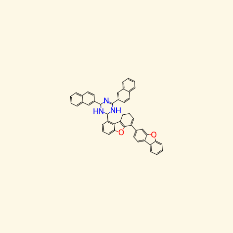 C1=C(c2ccc3c(c2)oc2ccccc23)c2oc3cccc(C4NC(c5ccc6ccccc6c5)=NC(c5ccc6ccccc6c5)N4)c3c2CC1